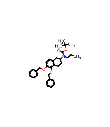 CCCN(C(=O)OC(C)(C)C)C1CCc2c(ccc(OCc3ccccc3)c2OCc2ccccc2)C1